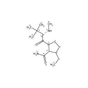 CCC1CCN(C(=O)[C@@H](NC)C(C)(C)C)C1C(N)=O